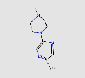 CN1CCN(c2cnc(C(C)(C)C)cn2)CC1